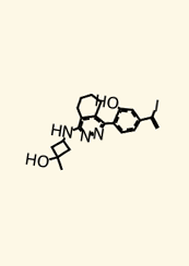 C=C(I)c1ccc(-c2nnc(NC3CC(C)(O)C3)c3c2CCCC3)c(O)c1